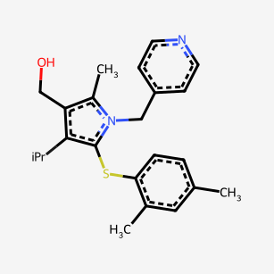 Cc1ccc(Sc2c(C(C)C)c(CO)c(C)n2Cc2ccncc2)c(C)c1